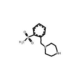 CS(=O)(=O)c1ccccc1CN1CCNCC1